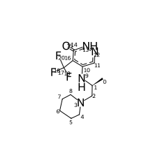 C[C@@H](CN1CCCCC1)Nc1cn[nH]c(=O)c1C(F)(F)F